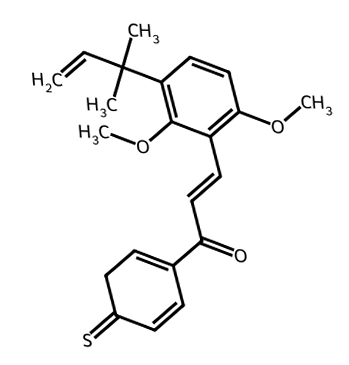 C=CC(C)(C)c1ccc(OC)c(C=CC(=O)C2=CCC(=S)C=C2)c1OC